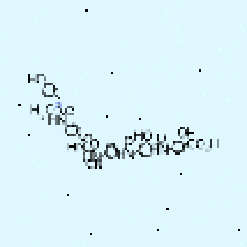 C/C(=C\c1ccc(O)cc1)C(=O)Nc1ccc(C(=O)N[C@@H](CC#N)C(=O)Nc2ccc(C(=O)Nc3ccc(C(=O)Nc4ccc(C(=O)O)c(O)c4)c(O)c3)cc2)cc1